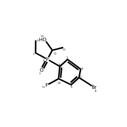 CCP(=O)(c1ccc(Br)cc1F)C(C)O